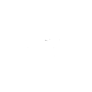 CC[C@H]1OC(C)(C)O[C@@H]1COCc1ccccc1